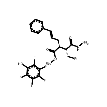 CC(C)C[C@@H](C(=O)NN)[C@H](CC=Cc1ccccc1)C(=O)OC(C)(C)C.Oc1c(F)c(F)c(F)c(F)c1F